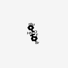 CC(C)(C)c1ccc(C(=O)NC(C)(C)c2ccc(Br)cc2F)cc1